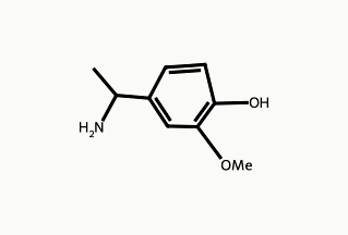 COc1cc(C(C)N)ccc1O